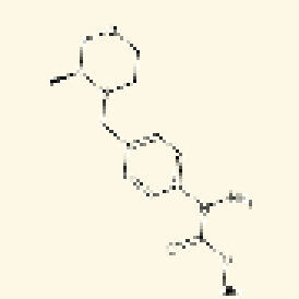 C[C@H]1COCCN1Cc1ccc(N(N)C(=O)OC(C)(C)C)cc1